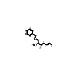 C/C=C/C[C@@H](C)[C@@H](O)COCc1ccccc1